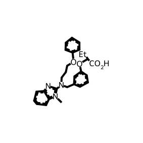 CCC(Oc1cccc(CN(CCCOc2ccccc2)c2nc3ccccc3n2C)c1)C(=O)O